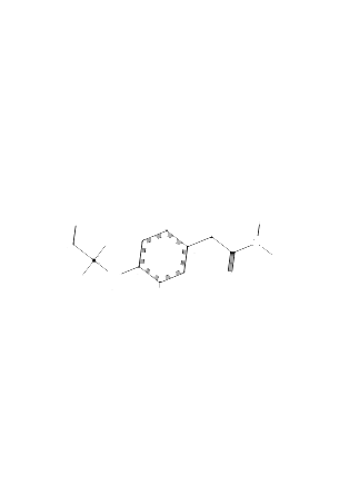 CN(C)C(=O)Cc1ccc(OC(F)(F)CF)cc1